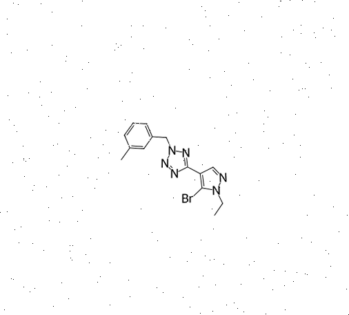 CCn1ncc(-c2nnn(Cc3cccc(C)c3)n2)c1Br